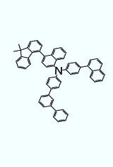 CC1(C)c2ccccc2-c2c(-c3ccc(N(c4ccc(-c5cccc(-c6ccccc6)c5)cc4)c4ccc(-c5cccc6ccccc56)cc4)c4ccccc34)cccc21